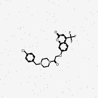 O=C(COc1ccc2c(C(F)(F)F)cc(=O)oc2c1)N1CCN(Cc2ccc(Cl)cc2)CC1